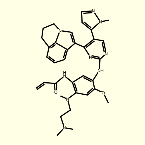 C=CC(=O)Nc1cc(Nc2ncc(-c3ccnn3C)c(-c3cn4c5c(cccc35)CCC4)n2)c(OC)cc1N(C)CCN(C)C